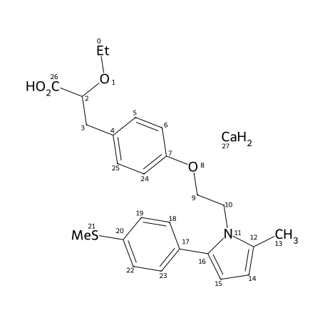 CCOC(Cc1ccc(OCCn2c(C)ccc2-c2ccc(SC)cc2)cc1)C(=O)O.[CaH2]